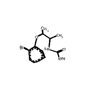 CNC(=O)NC(C)C(C)Oc1ccccc1Br